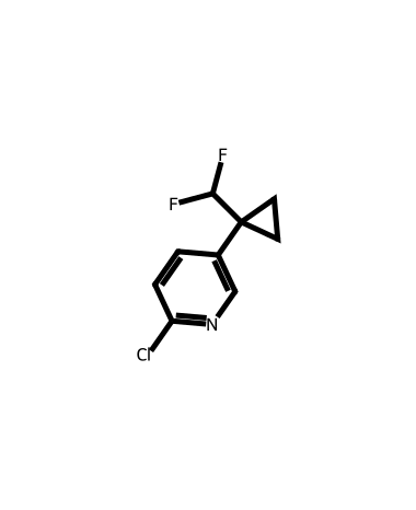 FC(F)C1(c2ccc(Cl)nc2)CC1